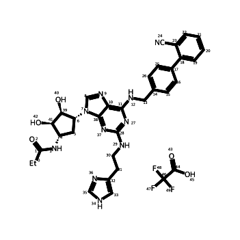 CCC(=O)N[C@H]1C[C@@H](n2cnc3c(NCc4ccc(-c5ccccc5C#N)cc4)nc(NCCc4c[nH]cn4)nc32)[C@H](O)[C@@H]1O.O=C(O)C(F)(F)F